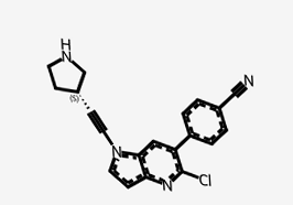 N#Cc1ccc(-c2cc3c(ccn3C#C[C@@H]3CCNC3)nc2Cl)cc1